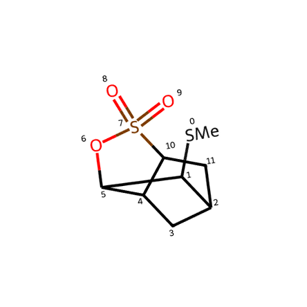 CSC1C2CC3C1OS(=O)(=O)C3C2